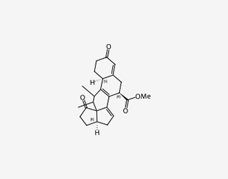 COC(=O)[C@@H]1CC2=CC(=O)CC[C@@H]2C2=C1C1=CC[C@H]3CCC(=O)C13C(C)C2C